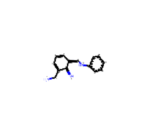 N=C1C(CN)=CC=C/C1=C/Nc1ccccc1